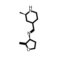 C=C1OCC[C@@H]1N=CC1CCN[C@H](C)C1